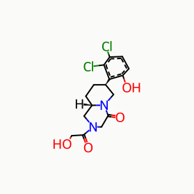 O=C(CO)N1CC(=O)N2C[C@H](c3c(O)ccc(Cl)c3Cl)CC[C@H]2C1